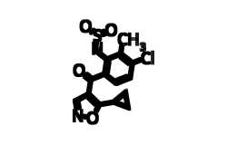 Cc1c(Cl)ccc(C(=O)c2cnoc2C2CC2)c1C[SH](=O)=O